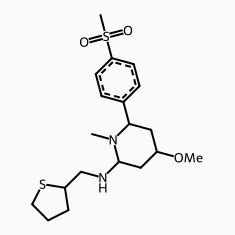 COC1CC(NCC2CCCS2)N(C)C(c2ccc(S(C)(=O)=O)cc2)C1